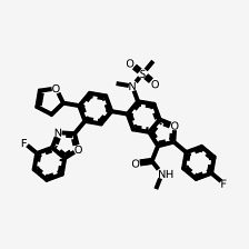 CNC(=O)c1c(-c2ccc(F)cc2)oc2cc(N(C)S(C)(=O)=O)c(-c3ccc(C4CC=CO4)c(-c4nc5c(F)cccc5o4)c3)cc12